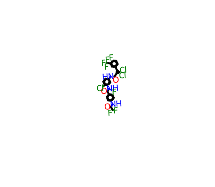 O=C(Nc1cc(NC(=O)C2C(c3ccc(F)c(C(F)(F)F)c3)C2(Cl)Cl)ccc1Cl)c1ccc(NC(=O)C(F)F)cc1F